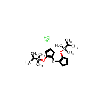 CC(C)[Si](C)(C)OC1=[C]([Zr][C]2=C(O[Si](C)(C)C(C)C)C=CC2)CC=C1.Cl.Cl